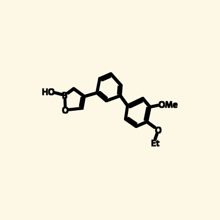 CCOc1ccc(-c2cccc(C3=COB(O)C3)c2)cc1OC